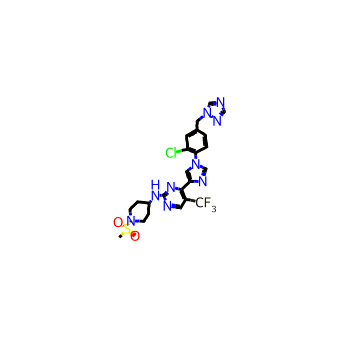 CS(=O)(=O)N1CCC(Nc2ncc(C(F)(F)F)c(-c3cn(-c4ccc(Cn5cncn5)cc4Cl)cn3)n2)CC1